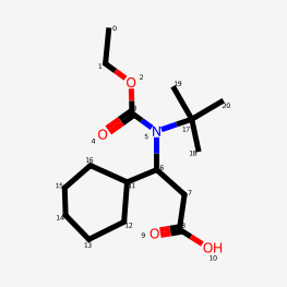 CCOC(=O)N(C(CC(=O)O)C1CCCCC1)C(C)(C)C